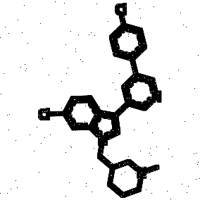 CN1CCCC(Cn2cc(-c3cncc(-c4ccc(Cl)cc4)c3)c3ccc(Cl)cc32)C1